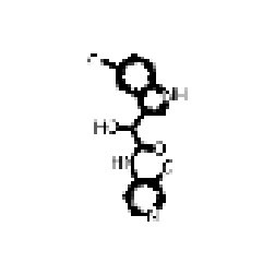 O=C(Nc1ccncc1Cl)C(O)c1c[nH]c2ccc(Cl)cc12